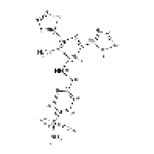 Nc1c(-c2ccco2)cc(-c2cccs2)nc1NCc1ccc(S(N)(=O)=O)cc1